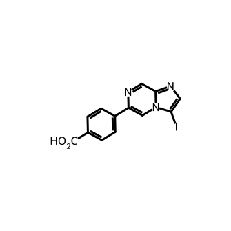 O=C(O)c1ccc(-c2cn3c(I)cnc3cn2)cc1